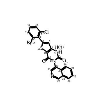 Cl.O=c1[nH]c2cc(-c3c(Cl)cccc3Br)sc2c(=O)n1-c1cncc2ccccc12